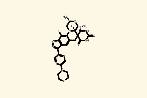 C[C@@H]1CN2c3c(cc4c(-c5cnc(N6CCOCC6)cn5)noc4c3F)CC3(C(=O)NC(=O)NC3=O)[C@H]2[C@@H](C)O1